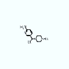 CCC(c1ccc(N)nc1)N1CCN(CC)CC1